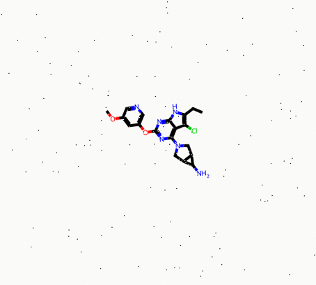 CCc1[nH]c2nc(Oc3cncc(OC)c3)nc(N3CC4C(N)C4C3)c2c1Cl